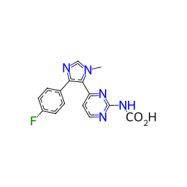 Cn1cnc(-c2ccc(F)cc2)c1-c1ccnc(NC(=O)O)n1